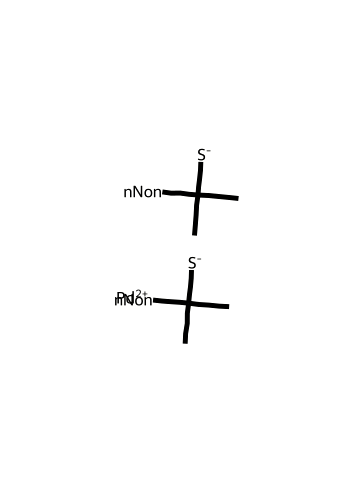 CCCCCCCCCC(C)(C)[S-].CCCCCCCCCC(C)(C)[S-].[Pd+2]